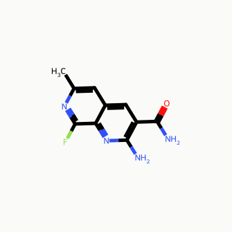 Cc1cc2cc(C(N)=O)c(N)nc2c(F)n1